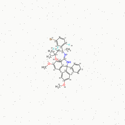 COc1ccc(C(NC2=N[C@](C)(c3cc(Br)ccc3F)C(F)(F)C(C)(C)OC2)(c2ccccc2)c2ccc(OC)cc2)cc1